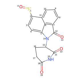 O=[S+]c1ccc2c3c(cccc13)C(=O)N2C1CCC(=O)NC1=O